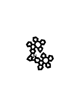 c1ccc2c(c1)-c1ccccc1-c1c(c3cc4c(cc3c3ccccc13)c1cccc3c5cc6c(cc5n4c13)c1c(c3ccccc36)-c3ccccc3-c3ccccc3-c3ccccc3-1)-c1ccccc1-2